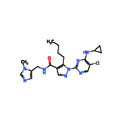 CCCCc1c(C(=O)NCc2cncn2C)cnn1-c1ncc(Cl)c(NC2CC2)n1